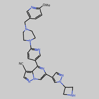 COc1ccc(CN2CCN(c3ccc(-c4nc(-c5cnn(C6CNC6)c5)cn5ncc(C#N)c45)cn3)CC2)cn1